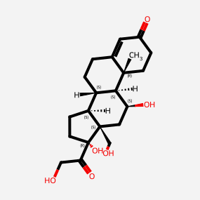 C[C@]12CCC(=O)C=C1CC[C@@H]1[C@@H]2[C@@H](O)C[C@@]2(CO)[C@H]1CC[C@]2(O)C(=O)CO